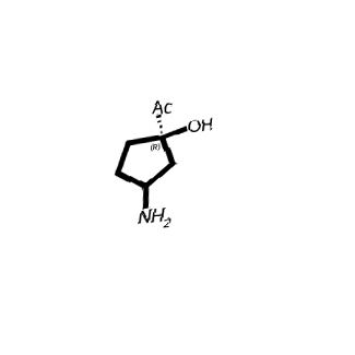 CC(=O)[C@@]1(O)CCC(N)C1